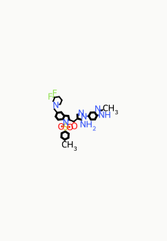 Cc1ccc(S(=O)(=O)n2c(C(=O)c3cnn(-c4ccc5[nH]c(C)nc5c4)c3N)cc3cc(CN4CCCC(F)(F)C4)ccc32)cc1